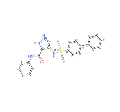 O=C(Nc1ccccc1)c1n[nH]cc1NS(=O)(=O)c1ccc(-c2ccccc2)cc1